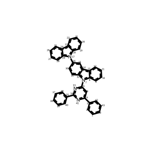 c1ccc(-c2cc(-n3c4ccccc4c4cc(-n5c6ccccc6c6ccccc65)ccc43)nc(-c3ccccc3)n2)cc1